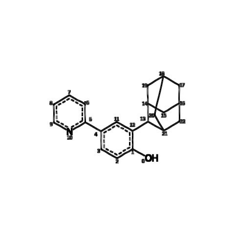 Oc1ccc(-c2[c]cccn2)cc1C1C2CC3CC(C2)CC1C3